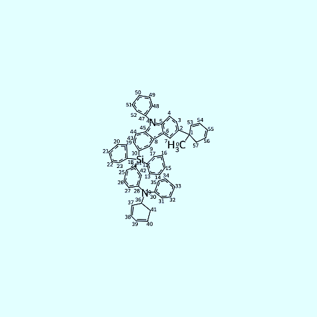 CC1(c2ccc3c(c2)c2cc([Si](c4ccccc4)(c4ccccc4)c4cccc(N(c5ccccc5)C5C=CC=CC5)c4)ccc2n3-c2ccccc2)C=CC=CC1